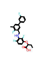 CCC(Oc1ccc(F)c(NCc2cc(-c3cccc(F)c3)cc(C)c2F)c1F)C(=O)O